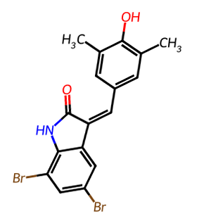 Cc1cc(C=C2C(=O)Nc3c(Br)cc(Br)cc32)cc(C)c1O